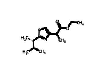 CCOC(=O)C(C)c1csc([C@@H](C)C(C)C)n1